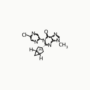 Cn1cnc2c(=O)n(-c3cnc(Cl)cn3)c([C@@H]3C[C@@H]4C[C@@H]4C3)nc21